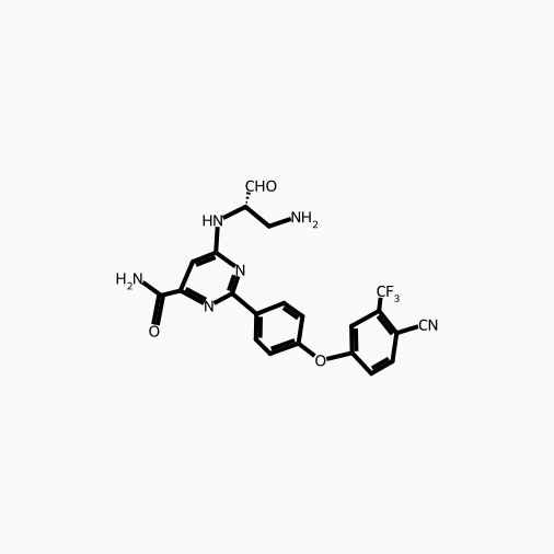 N#Cc1ccc(Oc2ccc(-c3nc(N[C@H](C=O)CN)cc(C(N)=O)n3)cc2)cc1C(F)(F)F